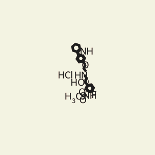 CS(=O)(=O)Nc1cc([C@@H](O)CNCCOc2ccc3c4c([nH]c3c2)CCCC4)ccc1F.Cl